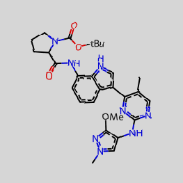 COc1nn(C)cc1Nc1ncc(C)c(-c2c[nH]c3c(NC(=O)C4CCCN4C(=O)OC(C)(C)C)cccc23)n1